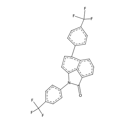 O=C1c2cccc3c(-c4ccc(C(F)(F)F)cc4)ccc(c23)N1c1ccc(C(F)(F)F)cc1